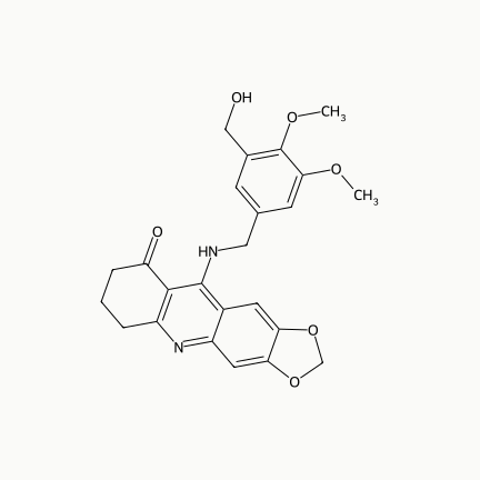 COc1cc(CNc2c3c(nc4cc5c(cc24)OCO5)CCCC3=O)cc(CO)c1OC